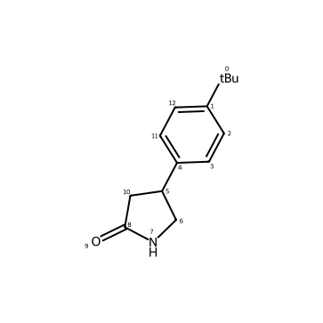 CC(C)(C)c1ccc(C2CNC(=O)C2)cc1